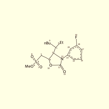 CCCCC(CC)C1C(CS(=O)(=O)OC)OC(=O)N1c1cccc(F)c1